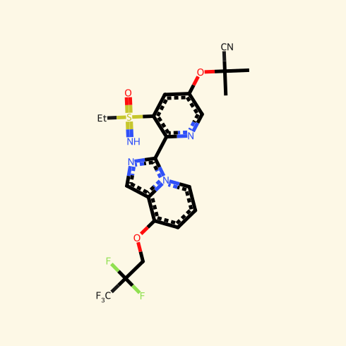 CCS(=N)(=O)c1cc(OC(C)(C)C#N)cnc1-c1ncc2c(OCC(F)(F)C(F)(F)F)cccn12